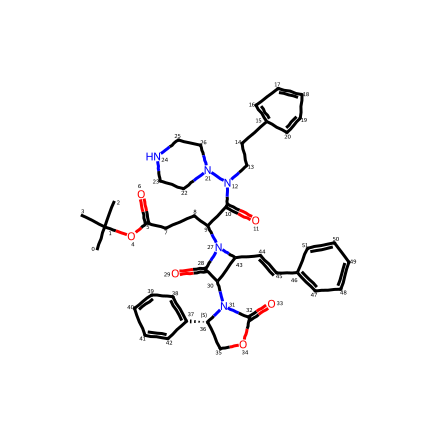 CC(C)(C)OC(=O)CCC(C(=O)N(CCc1ccccc1)N1CCNCC1)N1C(=O)C(N2C(=O)OC[C@@H]2c2ccccc2)C1C=Cc1ccccc1